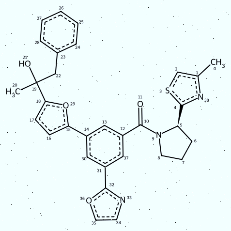 Cc1csc([C@H]2CCCN2C(=O)c2cc(-c3ccc(C(C)(O)Cc4ccccc4)o3)cc(-c3ncco3)c2)n1